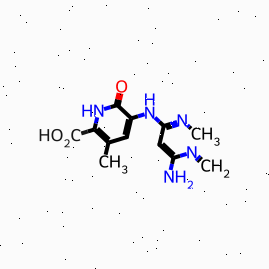 C=N/C(N)=C\C(=N/C)Nc1cc(C)c(C(=O)O)[nH]c1=O